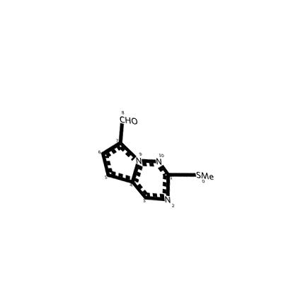 CSc1ncc2ccc(C=O)n2n1